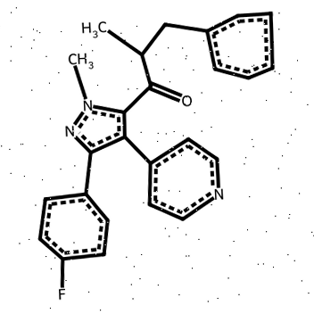 CC(Cc1ccccc1)C(=O)c1c(-c2ccncc2)c(-c2ccc(F)cc2)nn1C